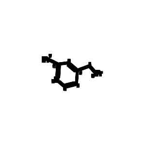 CC(C)Cc1ccnc(C(C)C)c1